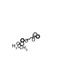 CC1(C)CCc2c(OCCCC(=O)N3CCCc4ccccc43)cccc2C1=O